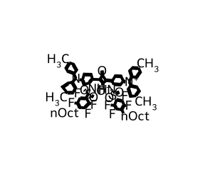 CCCCCCCCc1c(F)c(F)c(S(=O)(=O)NC2=CC(=[N+](c3ccc(C)cc3)c3ccc(C)cc3)C=C/C2=C2\C(=O)C(c3ccc(N(c4ccc(C)cc4)c4ccc(C)cc4)cc3NS(=O)(=O)c3c(F)c(F)c(CCCCCCCC)c(F)c3F)=C2[O-])c(F)c1F